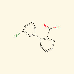 O=C(O)c1ccccc1-c1cccc(Cl)c1